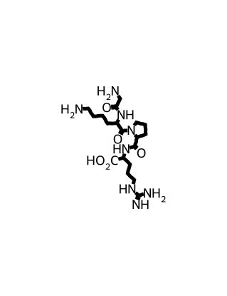 N=C(N)NCCCC(NC(=O)C1CCCN1C(=O)C(CCCCN)NC(=O)CN)C(=O)O